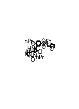 CCCOc1ccc(S(=O)(=O)N(CC)CC2CCCO2)cc1-c1[nH]c2c(c1Cl)n(CCC)c(=O)n1cnnc21